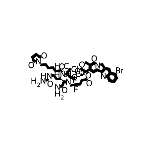 CC[C@@]1(OC(=O)CCC(F)(F)CN(C(=O)[C@@H](NC(=O)CCCCCN2C(=O)C=CC2=O)C(C)C)[C@@H](CCCNC(N)=O)C(N)=O)C(=O)OCc2c1cc1n(c2=O)Cc2cc3c(Br)cccc3nc2-1